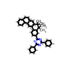 CC1(C)c2cc(-c3nc(-c4ccccc4)nc(-c4ccccc4)n3)ccc2-c2cc3c(ccc4ccccc43)cc2C1(C)C